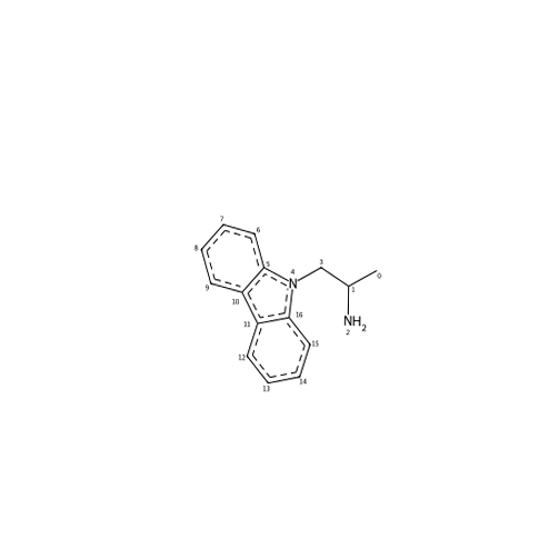 CC(N)Cn1c2ccccc2c2ccccc21